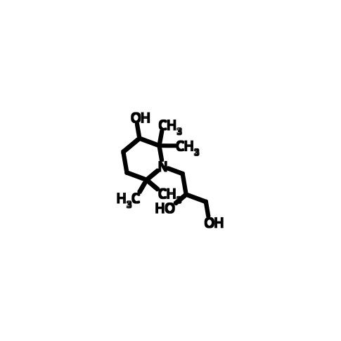 CC1(C)CCC(O)C(C)(C)N1CC(O)CO